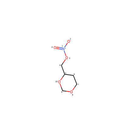 O=[N+]([O-])OCC1CCOCO1